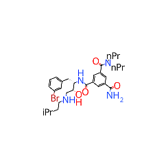 CCCN(CCC)C(=O)c1cc(C(N)=O)cc(C(=O)N[C@@H](Cc2cccc(Br)c2)[C@H](O)CNCCC(C)C)c1